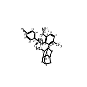 N#CC1C2CC3CC(C2)CC1(c1c(C(F)(F)F)ccc(C(N)=O)c1NS(=O)(=O)c1ccc(I)cc1)C3